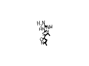 Cc1cc(-c2sc(NC(=N)N)nc2C)on1